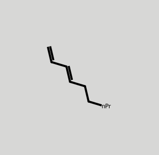 [CH2]CCCC/C=C/C=C